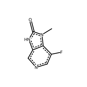 Cn1c(=O)[nH]c2cncc(F)c21